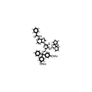 COc1ccc(C(OC[C@H]2O[C@@H](N3C=NC4C(NC(=O)c5ccccc5)=NC=NC43)[C@H](F)[C@@H]2OP2OC3(CCCC3)[C@H]3CCCN32)(c2ccccc2)c2ccc(OC)cc2)cc1